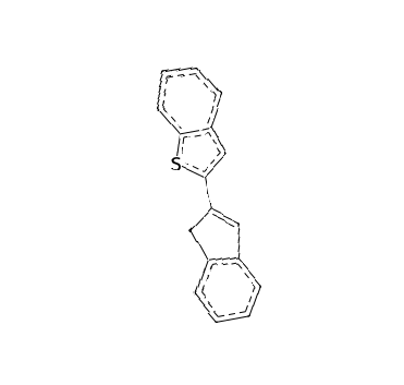 C1=C(c2cc3ccccc3s2)Cc2ccccc21